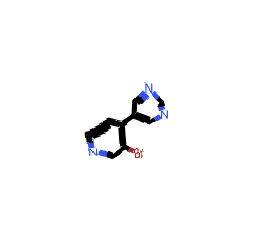 Brc1cnccc1-c1cncnc1